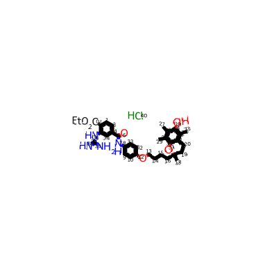 CCOC(=O)c1ccc(C(=O)Nc2ccc(OCCCCC3(C)CCc4c(C)c(O)c(C)c(C)c4O3)cc2)cc1NC(=N)N.Cl